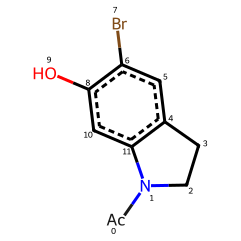 CC(=O)N1CCc2cc(Br)c(O)cc21